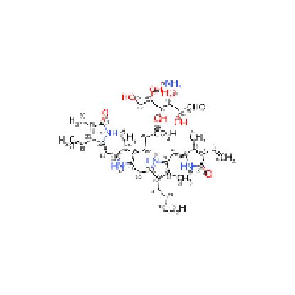 C=CC1=C(C)/C(=C/c2[nH]c(Cc3[nH]c(/C=C4\NC(=O)C(C)=C4C=C)c(C)c3CCC(=O)O)c(CCC(=O)O)c2C)NC1=O.N.O=C[C@H](O)[C@@H](O)[C@H](O)[C@H](O)CO